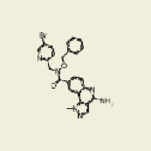 Cn1ncc2c(N)nc3ccc(C(=O)N(Cc4ccc(Br)cn4)OCc4ccccc4)cc3c21